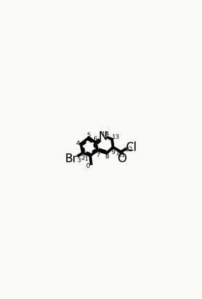 Cc1c(Br)ccc2c1=CC(C(=O)Cl)CN=2